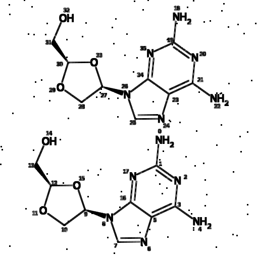 Nc1nc(N)c2ncn([C@H]3CO[C@@H](CO)O3)c2n1.Nc1nc(N)c2ncn([C@H]3CO[C@@H](CO)O3)c2n1